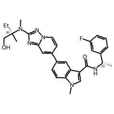 CC[C@](C)(CO)N(C)c1nc2cc(-c3ccc4c(c3)c(C(=O)N[C@@H](C)c3cccc(F)c3)cn4C)ccn2n1